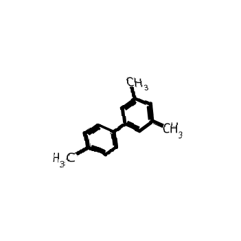 Cc1ccc(-c2cc(C)cc(C)c2)cc1